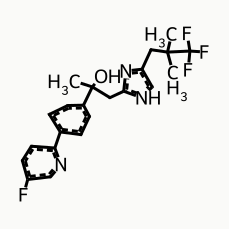 CC(O)(Cc1nc(CC(C)(C)C(F)(F)F)c[nH]1)c1ccc(-c2ccc(F)cn2)cc1